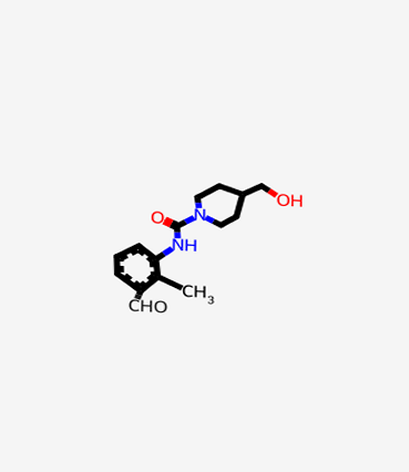 Cc1c(C=O)cccc1NC(=O)N1CCC(CO)CC1